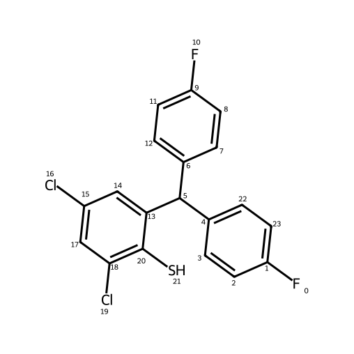 Fc1ccc(C(c2ccc(F)cc2)c2cc(Cl)cc(Cl)c2S)cc1